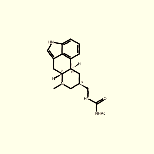 CC(=O)NC(=O)NC[C@@H]1C[C@@H]2c3cccc4[nH]cc(c34)C[C@H]2N(C)C1